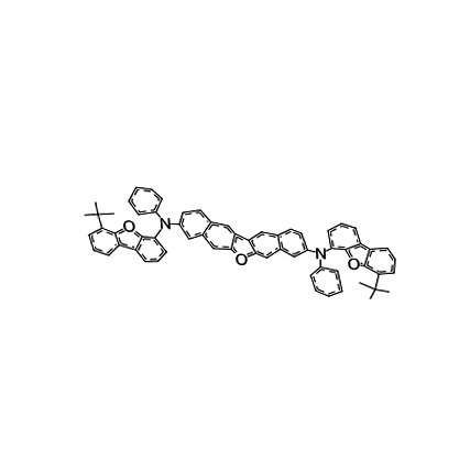 CC(C)(C)c1cccc2c1oc1c(N(c3ccccc3)c3ccc4cc5c(cc4c3)oc3cc4cc(N(c6ccccc6)c6cccc7c6oc6c(C(C)(C)C)cccc67)ccc4cc35)cccc12